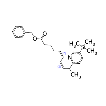 CC(/C=C\C=C/CCCC(=O)OCc1ccccc1)c1ccc([Si](C)(C)C)cn1